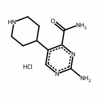 Cl.NC(=O)c1nc(N)ncc1C1CCNCC1